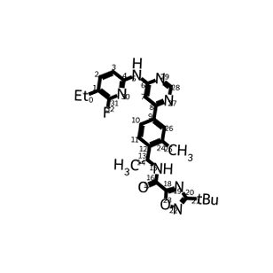 CCc1ccc(Nc2cc(-c3ccc([C@@H](C)NC(=O)c4nc(C(C)(C)C)no4)c(C)c3)ncn2)nc1F